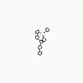 c1ccc(-c2nc(-c3ccccc3)nc(-c3cccc4oc5ccc(-c6cccc(-c7ccc8c(c7)sc7ccccc78)c6)cc5c34)n2)cc1